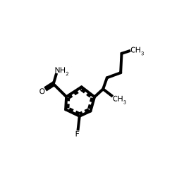 CCCCC(C)c1cc(F)cc(C(N)=O)c1